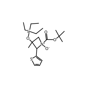 CC[Si](CC)(CC)OC1(C)C[N+]([O-])(C(=O)OC(C)(C)C)C1c1cccs1